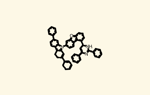 C1=CCCC(C2=Cc3c(c4ccc(-c5ccccc5)cc4n3-c3ccc4c(c3)oc3cccc(C5C=C(c6ccccc6)N=C(c6ccccc6)N5)c34)CC2)=C1